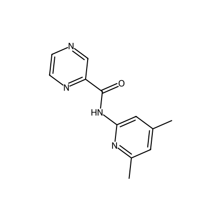 Cc1cc(C)nc(NC(=O)c2cnccn2)c1